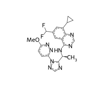 COc1ccc(-n2ncnc2[C@H](C)Nc2ncnc3c(C4CC4)cc(C(F)F)cc23)nn1